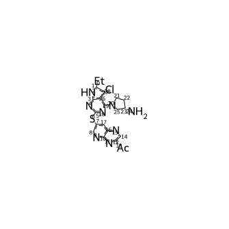 CCc1[nH]c2nc(Sc3cnc4nc(C(C)=O)cnc4c3)nc(N3CC[C@H](N)C3)c2c1Cl